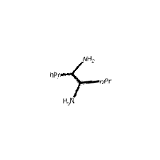 CCCC(N)C(N)CCC